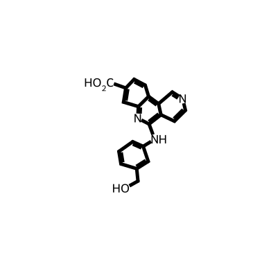 O=C(O)c1ccc2c(c1)nc(Nc1cccc(CO)c1)c1ccncc12